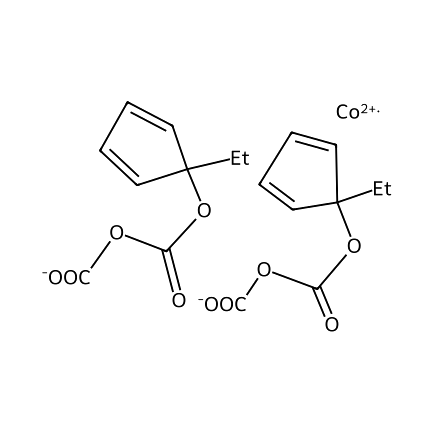 CCC1(OC(=O)OC(=O)[O-])C=CC=C1.CCC1(OC(=O)OC(=O)[O-])C=CC=C1.[Co+2]